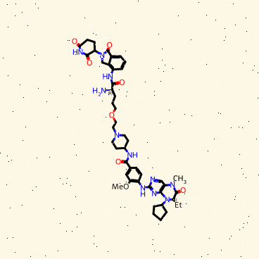 CC[C@@H]1C(=O)N(C)c2cnc(Nc3ccc(C(=O)NC4CCN(CCOCCC[C@@H](N)C(=O)Nc5cccc6c5CN(C5CCC(=O)NC5=O)C6=O)CC4)cc3OC)nc2N1C1CCCC1